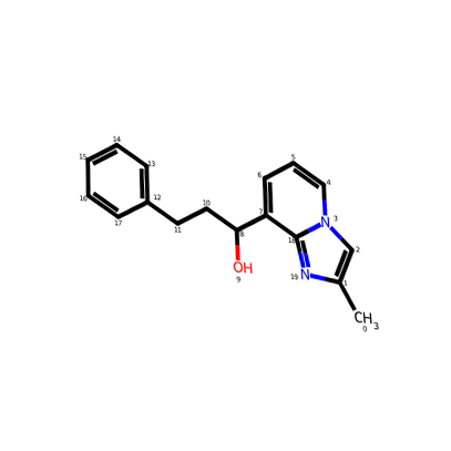 Cc1cn2cccc(C(O)CCc3ccccc3)c2n1